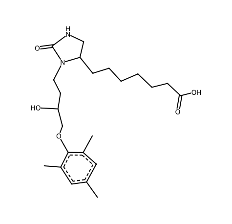 Cc1cc(C)c(OCC(O)CCN2C(=O)NCC2CCCCCCC(=O)O)c(C)c1